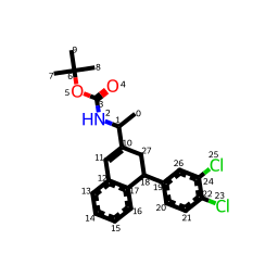 CC(NC(=O)OC(C)(C)C)C1=Cc2ccccc2C(c2ccc(Cl)c(Cl)c2)C1